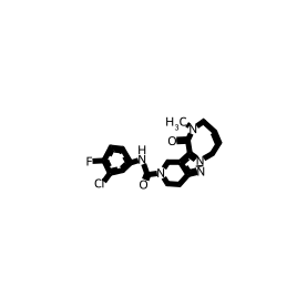 CN1CC=CCn2nc3c(c2C1=O)CN(C(=O)Nc1ccc(F)c(Cl)c1)CC3